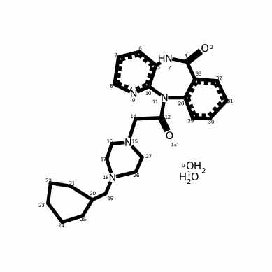 O.O.O=C1Nc2cccnc2N(C(=O)CN2CCN(CC3CCCCC3)CC2)c2ccccc21